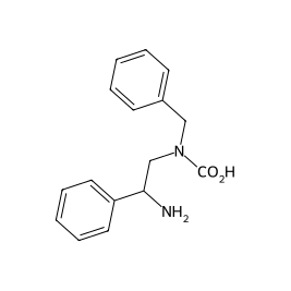 NC(CN(Cc1ccccc1)C(=O)O)c1ccccc1